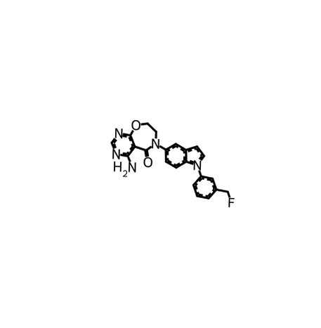 Nc1ncnc2c1C(=O)N(c1ccc3c(ccn3-c3cccc(CF)c3)c1)CCO2